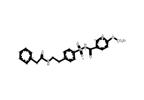 CCOC(=O)Oc1ccc(C(=O)NS(=O)(=O)c2ccc(CCNC(=O)Cc3ccccc3)cc2)cn1